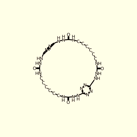 O=C1NCCCCCCNC(=O)NNc2nnc(nn2)NNC(=O)NCCCCCCNC(=O)NNc2nnc(nn2)NN1